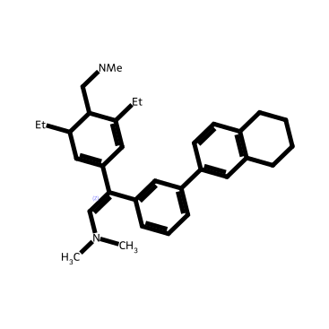 CCC1=CC(/C(=C/N(C)C)c2cccc(-c3ccc4c(c3)CCCC4)c2)=CC(CC)C1CNC